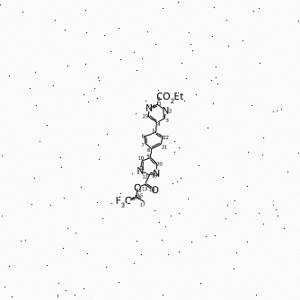 CCOC(=O)c1ncc(-c2ccc(-c3cnc(C(=O)O[C@@H](C)C(F)(F)F)nc3)cc2)cn1